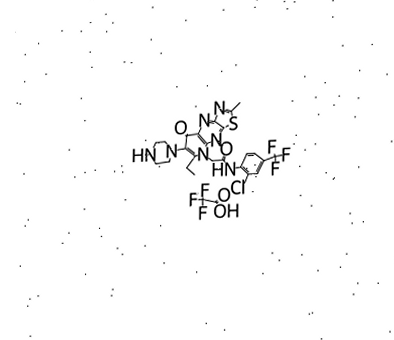 CCc1c(N2CCNCC2)c(=O)c2nc3nc(C)sc3nc2n1CC(=O)Nc1ccc(C(F)(F)F)cc1Cl.O=C(O)C(F)(F)F